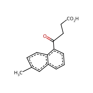 Cc1ccc2c(C(=O)CCC(=O)O)cccc2c1